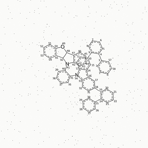 c1ccc(-c2ccccc2-c2ccc3c(c2)c2cc(-c4ccccc4-c4ccccc4)ccc2n3-c2ccccc2N2c3ccccc3C3Oc4ccccc4C32)cc1